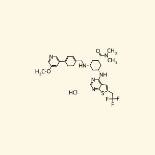 COc1cncc(-c2ccc(CN[C@H]3C[C@@H](Nc4ncnc5sc(CC(F)(F)F)cc45)C[C@@H](C(=O)N(C)C)C3)cc2)c1.Cl